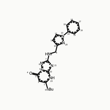 CCCCc1cc(=O)n2nc(NCc3ccn(-c4ccccc4)n3)nc2[nH]1